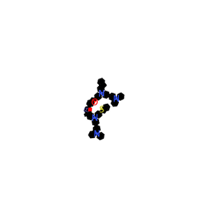 C=C(/C=C\C1=C(C)c2ccc(N(c3ccc(-c4ccc5c(c4)c4ccccc4n5-c4ccccc4)cc3)c3ccc(-c4cc5ccccc5s4)cc3)cc2C1(C)C)c1ccc2cc(-c3ccc(N(c4ccc(-c5ccc6c(c5)c5ccccc5n6-c5ccccc5)cc4)c4ccc5c(c4)C(C)(C)c4ccccc4-5)cc3)oc2c1